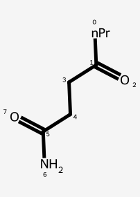 CCCC(=O)CCC(N)=O